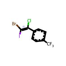 FC(F)(F)c1ccc(/C(Cl)=C(/Br)I)cc1